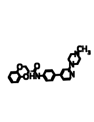 CN1CCN(c2cc(-c3ccc(NC(=O)[C@H]4COc5ccccc5O4)cc3)ccn2)CC1